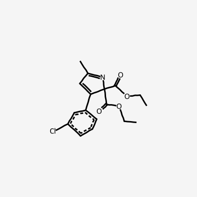 CCOC(=O)C1(C(=O)OCC)N=C(C)C=C1c1cccc(Cl)c1